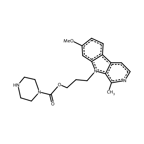 COc1ccc2c3ccnc(C)c3n(CCCOC(=O)N3CCNCC3)c2c1